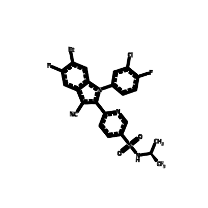 CCc1cc2c(cc1F)c(C#N)c(-c1ccc(S(=O)(=O)N[C@@H](C)C(F)(F)F)cn1)n2-c1ccc(F)c(Cl)c1